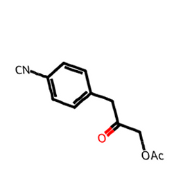 [C-]#[N+]c1ccc(CC(=O)COC(C)=O)cc1